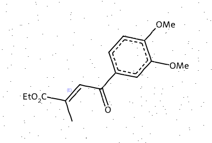 CCOC(=O)/C(C)=C/C(=O)c1ccc(OC)c(OC)c1